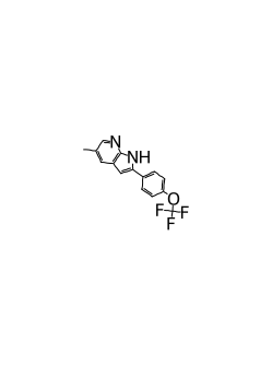 Cc1cnc2[nH]c(-c3ccc(OC(F)(F)F)cc3)cc2c1